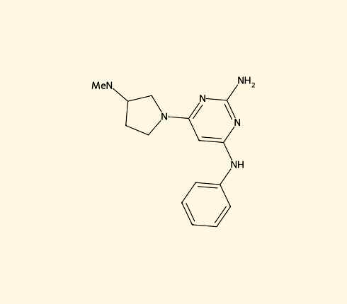 CNC1CCN(c2cc(Nc3ccccc3)nc(N)n2)C1